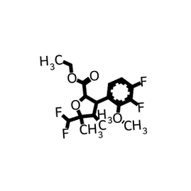 CCOC(=O)C1OC(C)(C(F)F)C(C)C1c1ccc(F)c(F)c1OC